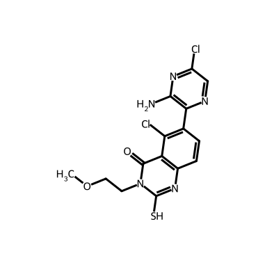 COCCn1c(S)nc2ccc(-c3ncc(Cl)nc3N)c(Cl)c2c1=O